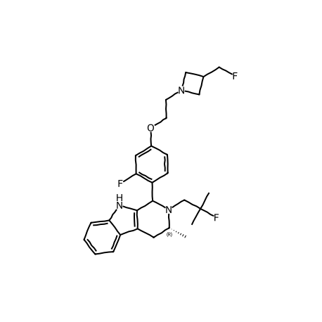 C[C@@H]1Cc2c([nH]c3ccccc23)C(c2ccc(OCCN3CC(CF)C3)cc2F)N1CC(C)(C)F